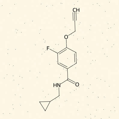 C#CCOc1ccc(C(=O)NCC2CC2)cc1F